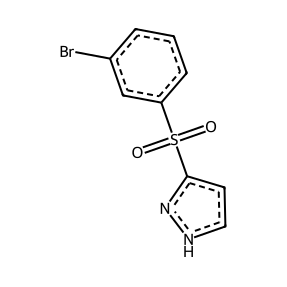 O=S(=O)(c1cccc(Br)c1)c1cc[nH]n1